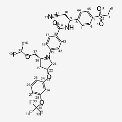 CCS(=O)(=O)c1ccc([C@H](CC#N)NC(=O)c2ccc(N3C[C@@H](Oc4cccc(OC(F)(F)F)c4)C[C@H]3COC(F)F)cc2)cc1